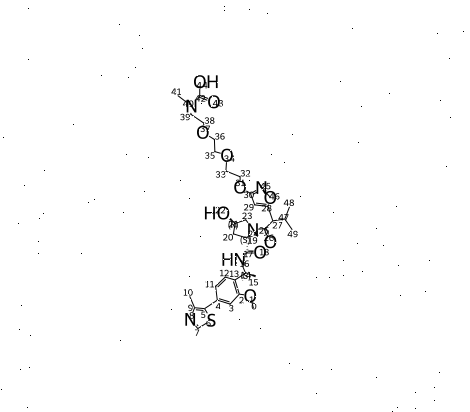 COc1cc(-c2scnc2C)ccc1[C@H](C)NC(=O)[C@@H]1C[C@@H](O)CN1C(=O)C(c1cc(OCCOCCOCCN(C)C(=O)O)no1)C(C)C